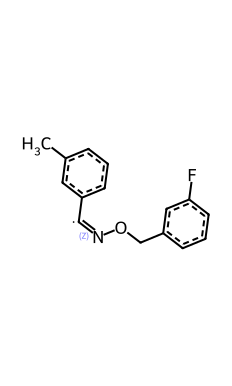 Cc1cccc(/[C]=N\OCc2cccc(F)c2)c1